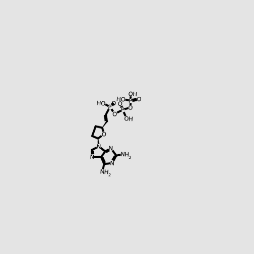 Nc1nc(N)c2ncn([C@H]3CC[C@@H](/C=C/P(=O)(O)OP(=O)(O)OP(=O)(O)O)O3)c2n1